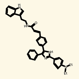 CCN(CC)c1ccc(-c2nc(-c3[c]cccc3)c(-c3ccc(C=CC(=O)NCCc4c[nH]c5ccccc45)cc3)[nH]2)cc1